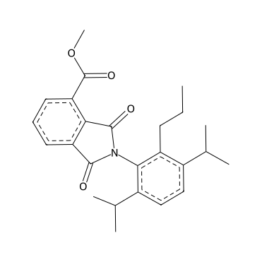 CCCc1c(C(C)C)ccc(C(C)C)c1N1C(=O)c2cccc(C(=O)OC)c2C1=O